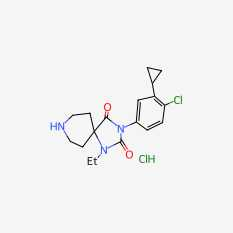 CCN1C(=O)N(c2ccc(Cl)c(C3CC3)c2)C(=O)C12CCNCC2.Cl